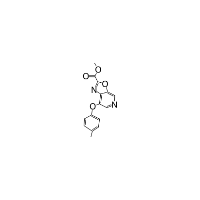 COC(=O)c1nc2c(Oc3ccc(C)cc3)cncc2o1